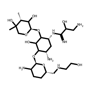 C[C@@H]1C(O)[C@@H](OC2C(O)C(O[C@H]3O[C@H](CNCCO)CCC3N)[C@@H](N)C[C@H]2NC(=N)C(O)CN)OCC1(C)O